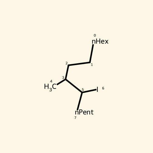 CCCCCCCCC(C)C(I)CCCCC